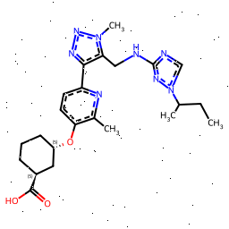 CCC(C)n1cnc(NCc2c(-c3ccc(O[C@H]4CCC[C@H](C(=O)O)C4)c(C)n3)nnn2C)n1